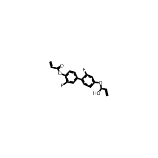 C=CC(=O)Oc1ccc(-c2ccc(OC(O)C=C)cc2F)cc1F